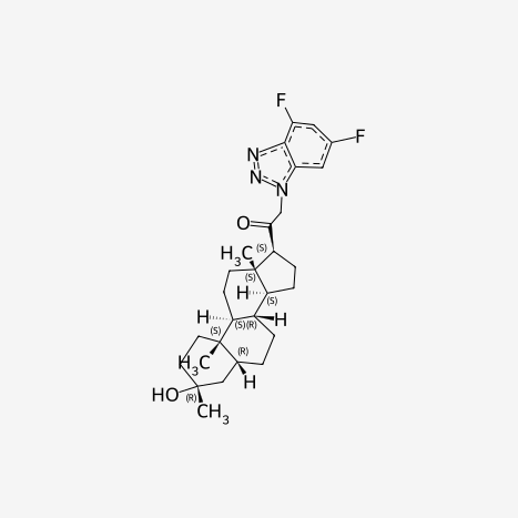 C[C@@]1(O)CC[C@@]2(C)[C@H](CC[C@@H]3[C@@H]2CC[C@]2(C)[C@@H](C(=O)Cn4nnc5c(F)cc(F)cc54)CC[C@@H]32)C1